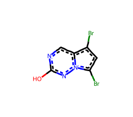 Oc1ncc2c(Br)cc(Br)n2n1